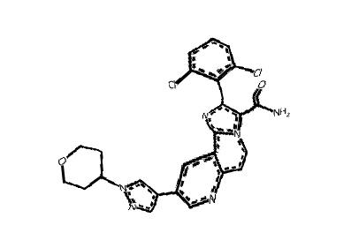 NC(=O)c1c(-c2c(Cl)cccc2Cl)nc2c3cc(-c4cnn(C5CCOCC5)c4)cnc3ccn12